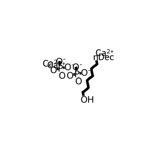 CCCCCCCCCCCCCCCCO.O=P([O-])([O-])[O-].O=P([O-])([O-])[O-].[Ca+2].[Ca+2].[Ca+2]